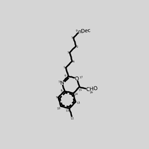 CCCCCCCCCCCCCCCC1=Nc2ccc(C)cc2C(C=O)O1